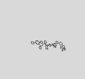 O=C1C[C@H](C(=O)NC23CC(n4cc(O[C@@H]5CC[C@@H](OC(F)(F)F)C5)cn4)(C2)C3)Oc2ccc(Cl)cc21